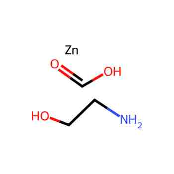 NCCO.O=CO.[Zn]